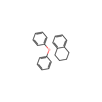 c1ccc(Oc2ccccc2)cc1.c1ccc2c(c1)CCCC2